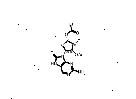 CCC(=O)O[C@H]1O[C@@H](n2c(=O)[nH]c3cnc(N)nc32)[C@H](OC(C)=O)[C@H]1F